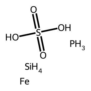 O=S(=O)(O)O.P.[Fe].[SiH4]